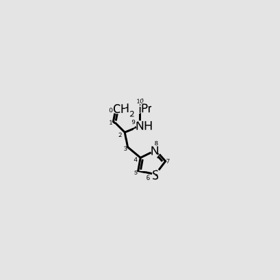 C=CC(Cc1cscn1)NC(C)C